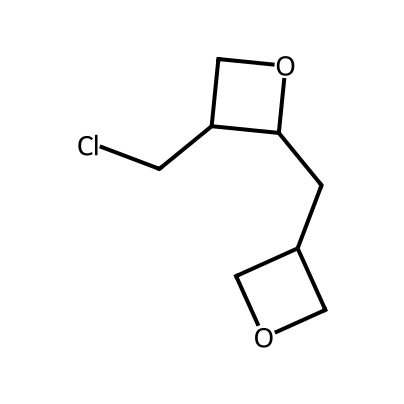 ClCC1COC1CC1COC1